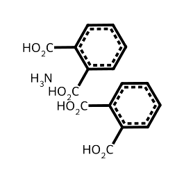 N.O=C(O)c1ccccc1C(=O)O.O=C(O)c1ccccc1C(=O)O